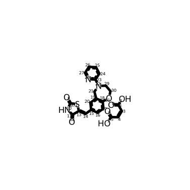 O=C(O)/C=C\C(=O)O.O=C1NC(=O)C(=Cc2ccc3c(c2)CN(c2ccccn2)CCO3)S1